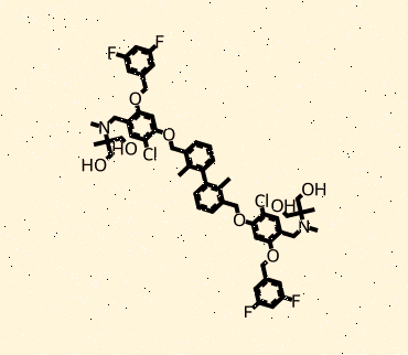 Cc1c(COc2cc(OCc3cc(F)cc(F)c3)c(CN(C)C(C)(CO)CO)cc2Cl)cccc1-c1cccc(COc2cc(OCc3cc(F)cc(F)c3)c(CN(C)C(C)(CO)CO)cc2Cl)c1C